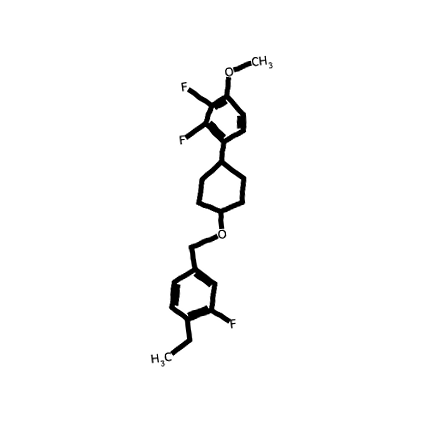 CCc1ccc(COC2CCC(c3ccc(OC)c(F)c3F)CC2)cc1F